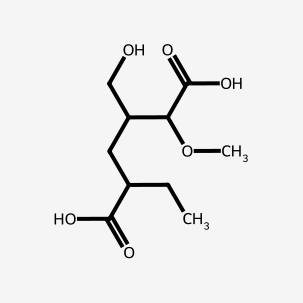 CCC(CC(CO)C(OC)C(=O)O)C(=O)O